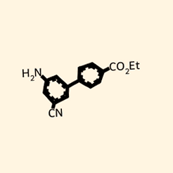 CCOC(=O)c1ccc(-c2cc(N)cc(C#N)c2)cc1